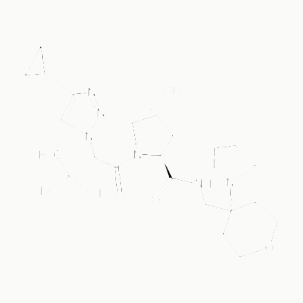 CC(C)(C)[C@@H](C(=O)N1C[C@H](O)C[C@H]1C(=O)NCC1(N2CCCC2)CCOCC1)n1cc(C2CC2)nn1